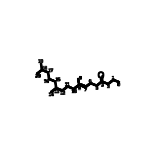 CCCC(=O)CC/C=C(\C)CCCC(C)CCCC(C)C